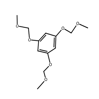 COCOc1cc(OCOC)cc(OCOC)c1